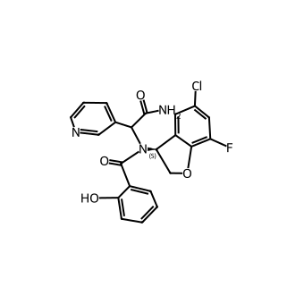 NC(=O)C(c1cccnc1)N(C(=O)c1ccccc1O)[C@@H]1COc2c(F)cc(Cl)cc21